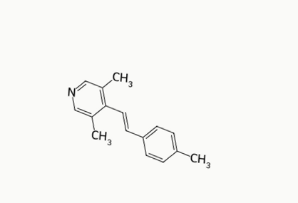 Cc1ccc(C=Cc2c(C)cncc2C)cc1